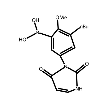 CCCCc1cc(-n2c(=O)cc[nH]c2=O)cc(B(O)O)c1OC